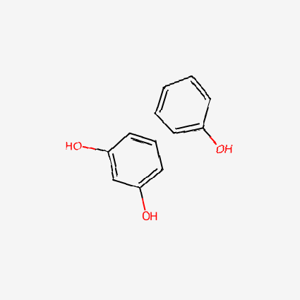 Oc1cccc(O)c1.Oc1ccccc1